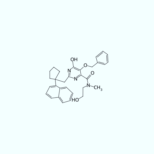 CN(CCO)C(=O)c1nc(CC2(c3cccc4ccccc34)CCCC2)nc(O)c1OCc1ccccc1